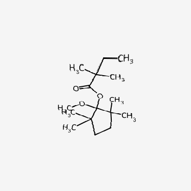 CCC(C)(C)C(=O)OC1(OC)C(C)(C)CCC1(C)C